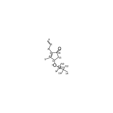 C=CCC1=C(C)C(O[Si](C)(C)C(C)(C)C)CC1=O